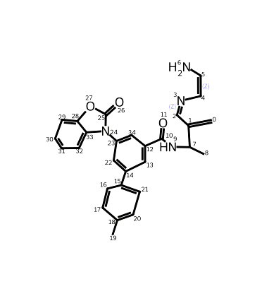 C=C(/C=N\C=C/N)C(C)NC(=O)c1cc(-c2ccc(C)cc2)cc(-n2c(=O)oc3ccccc32)c1